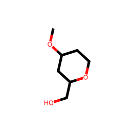 COC1CCOC(CO)C1